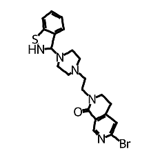 O=C1c2cnc(Br)cc2CCN1CCN1CCN(C2NSc3ccccc32)CC1